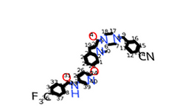 Cn1c(C(=O)N2CCN(Cc3ccc(C#N)cc3)CC2)cc2ccc(Oc3ccc(NC(=O)c4ccc(C(F)(F)F)cc4)cn3)cc21